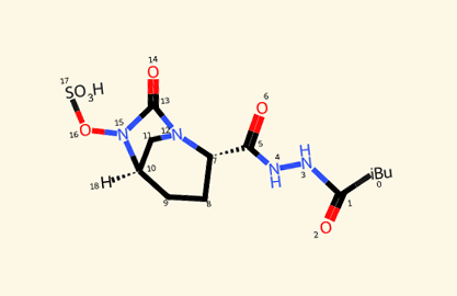 CCC(C)C(=O)NNC(=O)[C@@H]1CC[C@@H]2CN1C(=O)N2OS(=O)(=O)O